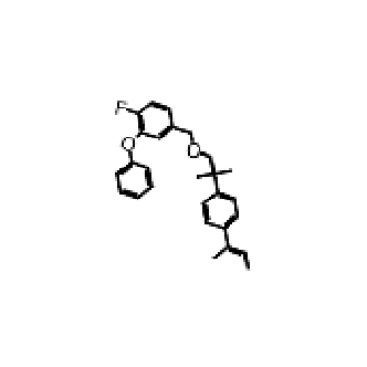 CC=C(C)c1ccc(C(C)(C)COCc2ccc(F)c(Oc3ccccc3)c2)cc1